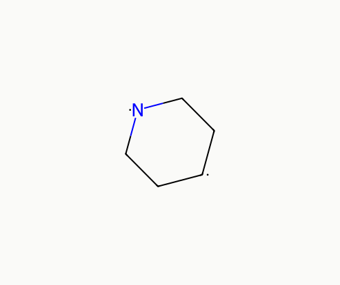 [CH]1CC[N]CC1